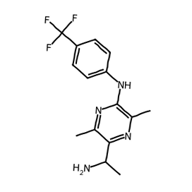 Cc1nc(C(C)N)c(C)nc1Nc1ccc(C(F)(F)F)cc1